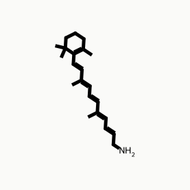 CC1=C(/C=C/C(C)=C/C=C/C(C)=C/C=C/CN)C(C)(C)CCC1